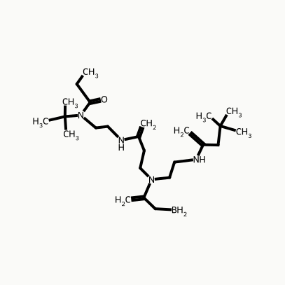 BCC(=C)N(CCNC(=C)CC(C)(C)C)CCC(=C)NCCN(C(=O)CC)C(C)(C)C